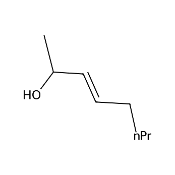 CCCC/C=C/C(C)O